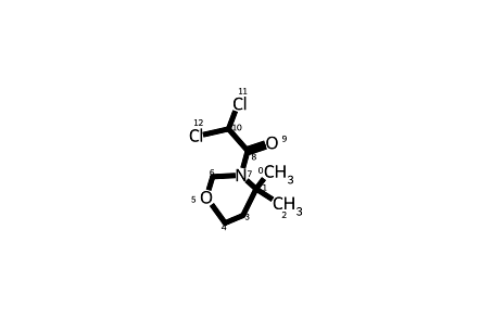 CC1(C)CCOCN1C(=O)C(Cl)Cl